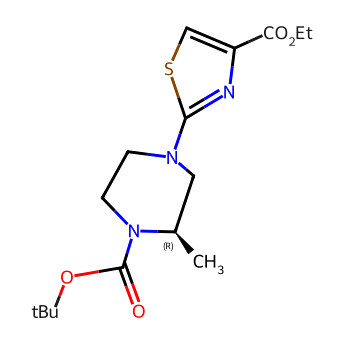 CCOC(=O)c1csc(N2CCN(C(=O)OC(C)(C)C)[C@H](C)C2)n1